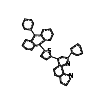 c1ccc(-c2cc(-c3ccc(-c4c5ccccc5c(-c5ccccc5)c5ccccc45)s3)c3ccc4cccnc4c3n2)cc1